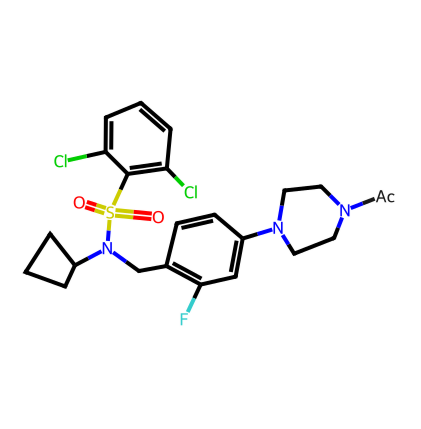 CC(=O)N1CCN(c2ccc(CN(C3CCC3)S(=O)(=O)c3c(Cl)cccc3Cl)c(F)c2)CC1